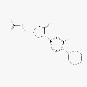 NC(=S)NC[C@H]1CN(c2ccc(C3CNCCS3)c(F)c2)C(=O)O1